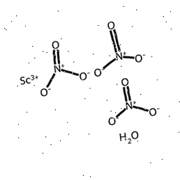 O.O=[N+]([O-])[O-].O=[N+]([O-])[O-].O=[N+]([O-])[O-].[Sc+3]